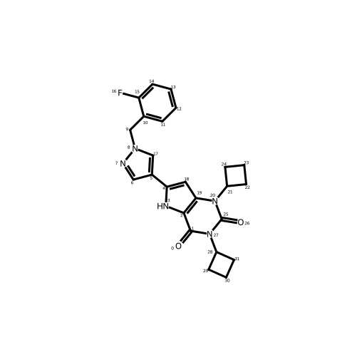 O=c1c2[nH]c(-c3cnn(Cc4ccccc4F)c3)cc2n(C2CCC2)c(=O)n1C1CCC1